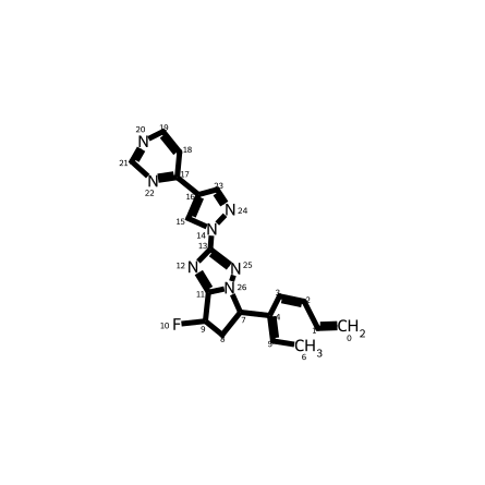 C=C/C=C\C(=C/C)C1CC(F)c2nc(-n3cc(-c4ccncn4)cn3)nn21